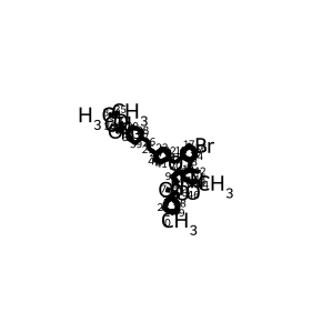 Cc1ccc(S(=O)(=O)n2ccc3c(-c4cc(Br)ccc4Oc4ccc(CCC5CCN(C(=O)OC(C)(C)C)CC5)cc4)cn(C)c(=O)c32)cc1